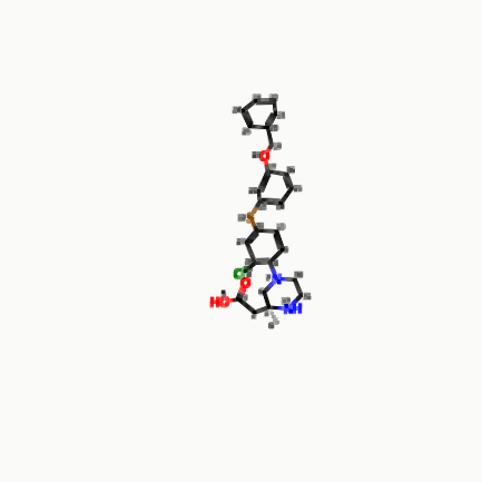 C[C@]1(CC(=O)O)CN(c2ccc(Sc3cccc(OCc4ccccc4)c3)cc2Cl)CCN1